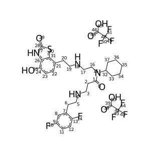 O=C(CCNCCc1cc(F)ccc1F)N(CCNCCc1ccc(O)c2[nH]c(=O)sc12)C1CCCCC1.O=C(O)C(F)(F)F.O=C(O)C(F)(F)F